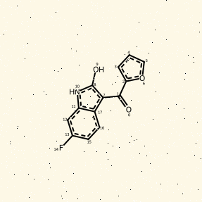 O=C(c1ccco1)c1c(O)[nH]c2cc(F)ccc12